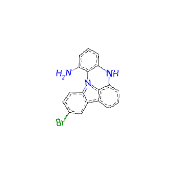 Nc1cccc2c1-n1c3ccc(Br)cc3c3cccc(c31)N2